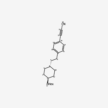 CCCCCC[C@H]1CC[C@H](CCc2ccc(C#CC#N)cc2)CC1